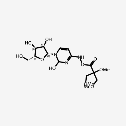 COCC(COC)(OC)C(=O)ONC1=NC(O)N([C@@H]2O[C@H](CO)[C@@H](O)[C@H]2O)C=C1